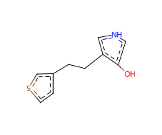 Oc1c[nH]cc1CCc1ccsc1